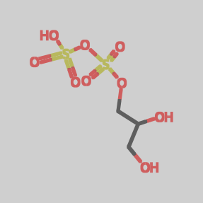 O=S(=O)(O)OS(=O)(=O)OCC(O)CO